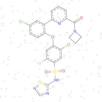 O=C(c1cccc(-c2cc(Cl)ccc2Oc2cc(F)c(S(=O)(=O)Nc3ncns3)cc2Cl)n1)N1CCC1